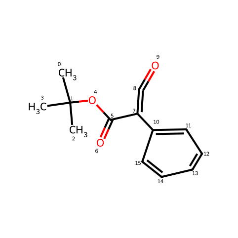 CC(C)(C)OC(=O)C(=C=O)c1ccccc1